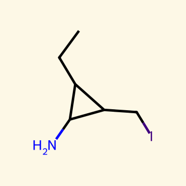 CCC1C(N)C1CI